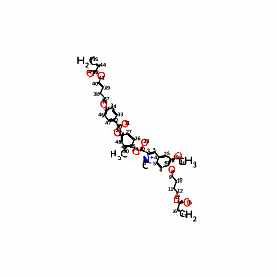 [C-]#[N+]/C(=C\c1ccc(OCCCCOC(=O)C=C)c(OC)c1)C(=O)Oc1ccc(OC(=O)c2ccc(OCCCCOC(=O)C=C)cc2)cc1C